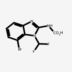 O=C(O)Nc1nc2cccc(Br)c2n1C(F)F